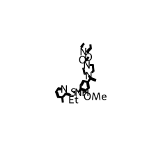 C=C(c1ccc(NS/C(CC)=C2\N=CC=CC2C)c(OC)c1)N1CCN(C(=O)OC(=C/C)/N=C\C)CC1